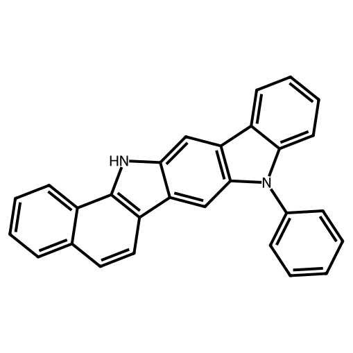 c1ccc(-n2c3ccccc3c3cc4[nH]c5c6ccccc6ccc5c4cc32)cc1